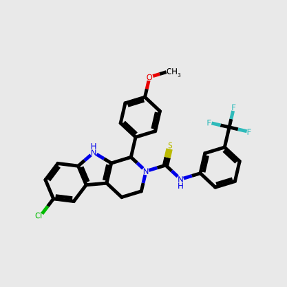 COc1ccc(C2c3[nH]c4ccc(Cl)cc4c3CCN2C(=S)Nc2cccc(C(F)(F)F)c2)cc1